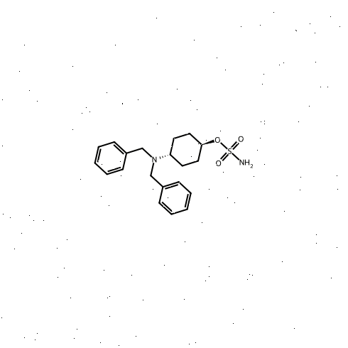 NS(=O)(=O)O[C@H]1CC[C@H](N(Cc2ccccc2)Cc2ccccc2)CC1